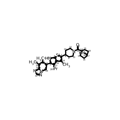 Cc1c(-c2[nH]c3sc(C4CCN(C(=O)C56CCC(CC5)CN6)CC4)c(C)c3c2C(C)C)cn2ncnc2c1C